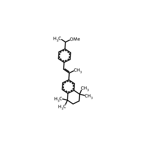 COC(C)c1ccc(C=C(C)c2ccc3c(c2)C(C)(C)CCC3(C)C)cc1